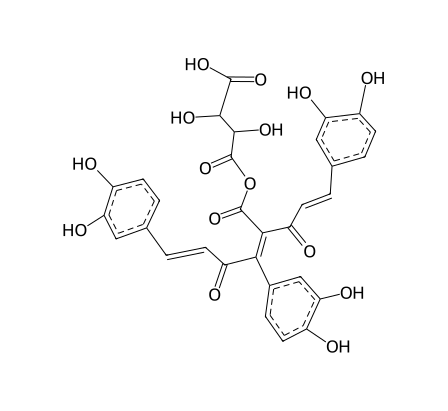 O=C(/C=C/c1ccc(O)c(O)c1)/C(C(=O)OC(=O)C(O)C(O)C(=O)O)=C(/C(=O)/C=C/c1ccc(O)c(O)c1)c1ccc(O)c(O)c1